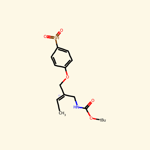 C/C=C(\CNC(=O)OC(C)(C)C)COc1ccc([SH](=O)=O)cc1